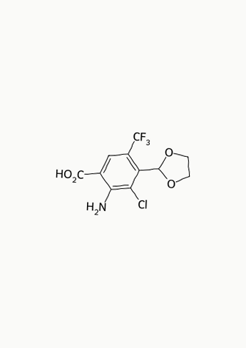 Nc1c(C(=O)O)cc(C(F)(F)F)c(C2OCCO2)c1Cl